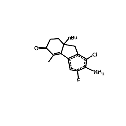 CCCCC12CCC(=O)C(C)=C1c1cc(F)c(N)c(Cl)c1C2